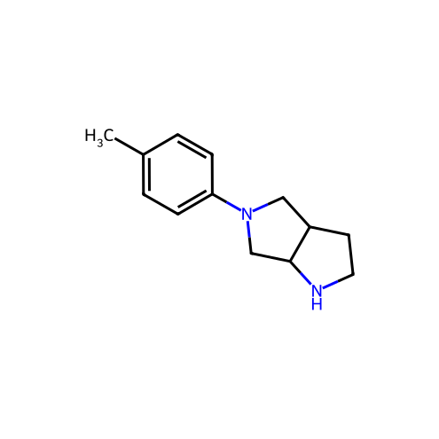 Cc1ccc(N2CC3CCNC3C2)cc1